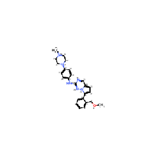 COCc1ccccc1-c1ccc2cnc(Nc3ccc(N4CCN(C)CC4)cc3)nn12